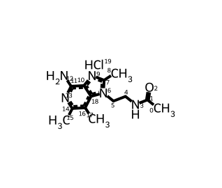 CC(=O)NCCn1c(C)nc2c(N)nc(C)c(C)c21.Cl